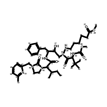 CCC(C)C(C(=O)NC(Cc1ccccc1)C(O)CN(NCCCCCC(=O)OC)C(=O)C(NC(=O)OC)C(C)(C)C)N1CCN(Cc2cccc(C)n2)C1=O